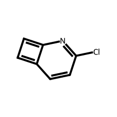 Clc1ccc2c(n1)=CC=2